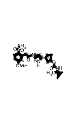 COc1ccc(S(C)(=O)=O)c(CC(=O)Nc2cc([C@H]3CCC(OC(=O)NC4(C)CC4)C3)[nH]n2)c1